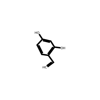 [CH]=Cc1ccc(O)cc1O